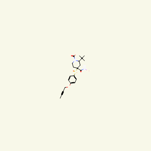 CC#CCOc1ccc(S(=O)(=O)C2(C(=O)NO)CCN(C(=O)O)C(C(C)(C)C)C2)cc1